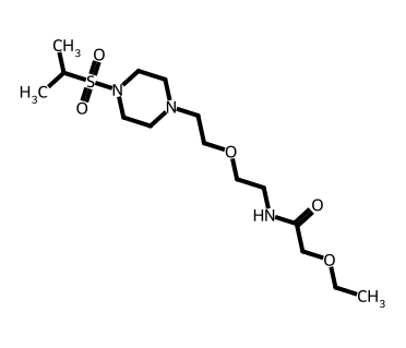 CCOCC(=O)NCCOCCN1CCN(S(=O)(=O)C(C)C)CC1